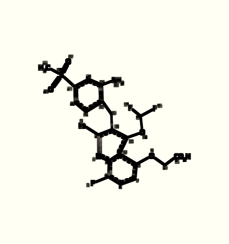 CCc1nc2c(F)ccc(OCC(=O)O)c2c(OC(F)F)c1Cc1ccc(S(C)(=O)=O)cc1N